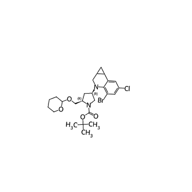 CC(C)(C)OC(=O)N1C[C@H](N2CC3CC3c3cc(Cl)cc(Br)c32)C[C@@H]1COC1CCCCO1